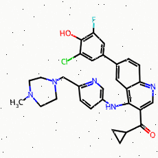 CN1CCN(Cc2ccc(Nc3c(C(=O)C4CC4)cnc4ccc(-c5cc(F)c(O)c(Cl)c5)cc34)cn2)CC1